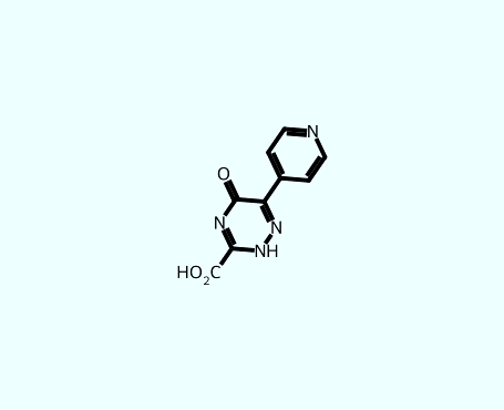 O=C(O)c1nc(=O)c(-c2ccncc2)n[nH]1